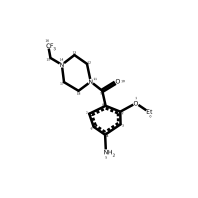 CCOc1cc(N)ccc1C(=O)N1CCN(CC(F)(F)F)CC1